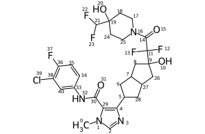 Cn1cnc(C2CC3CC(O)(C(F)(F)C(=O)N4CCC(O)(C(F)F)CC4)CC3C2)c1C(=O)Nc1ccc(F)c(Cl)c1